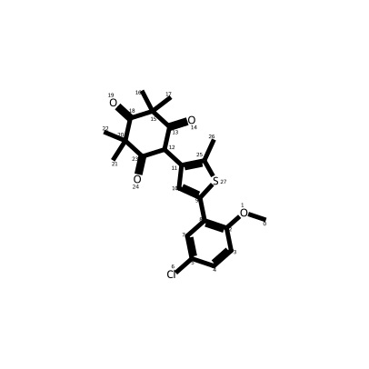 COc1ccc(Cl)cc1-c1cc(C2C(=O)C(C)(C)C(=O)C(C)(C)C2=O)c(C)s1